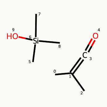 CC(C)=C=O.C[Si](C)(C)O